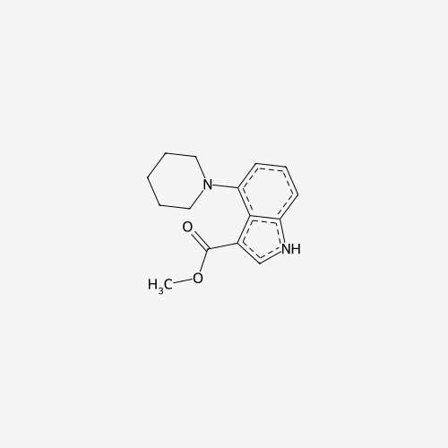 COC(=O)c1c[nH]c2cccc(N3CCCCC3)c12